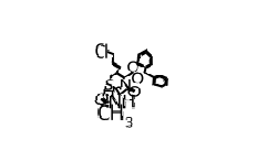 CC(=O)N[C@@H]1C(=O)N2C(C(=O)OC(c3ccccc3)c3ccccc3)=C(/C=C/CCl)CS[C@H]12